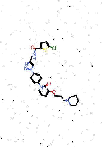 O=C(NCc1cn(-c2ccc(-n3cccc(OCCCN4CCCCC4)c3=O)cc2)nn1)c1ccc(Cl)s1